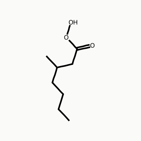 CCCCC(C)CC(=O)OO